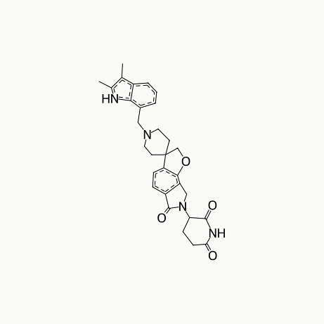 Cc1[nH]c2c(CN3CCC4(CC3)COc3c4ccc4c3CN(C3CCC(=O)NC3=O)C4=O)cccc2c1C